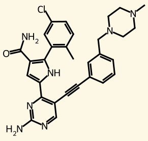 Cc1ccc(Cl)cc1-c1[nH]c(-c2nc(N)ncc2C#Cc2cccc(CN3CCN(C)CC3)c2)cc1C(N)=O